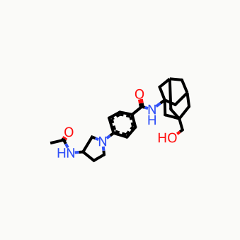 CC(=O)NC1CCN(c2ccc(C(=O)NC34CC5CC(CC(CO)(C5)C3)C4)cc2)C1